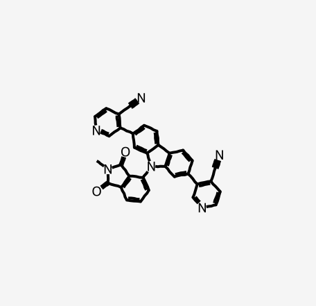 CN1C(=O)c2cccc(-n3c4cc(-c5cnccc5C#N)ccc4c4ccc(-c5cnccc5C#N)cc43)c2C1=O